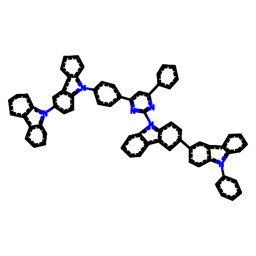 c1ccc(-c2cc(-c3ccc(-n4c5ccccc5c5cc(-n6c7ccccc7c7ccccc76)ccc54)cc3)nc(-n3c4ccccc4c4cc(-c5ccc6c(c5)c5ccccc5n6-c5ccccc5)ccc43)n2)cc1